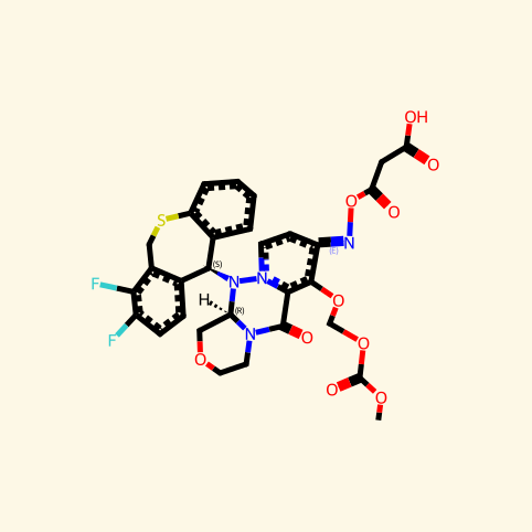 COC(=O)OCOc1c2n(cc/c1=N\OC(=O)CC(=O)O)N([C@@H]1c3ccccc3SCc3c1ccc(F)c3F)[C@@H]1COCCN1C2=O